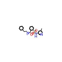 Cc1cncc(NS(=O)(=O)c2ccccc2C(=O)N(C)CCc2ccccc2)c1